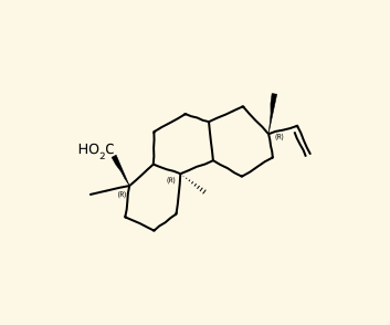 C=C[C@]1(C)CCC2C(CCC3[C@]2(C)CCC[C@@]3(C)C(=O)O)C1